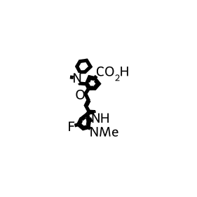 CNc1cc(F)cc2c(C=CC(=O)c3ccc(C(=O)O)cc3CN(C)C3CCCCC3)c[nH]c12